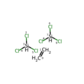 C=C.Cl[SiH](Cl)Cl.Cl[SiH](Cl)Cl